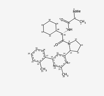 CNC(C)C(=O)N[C@H](C(=O)N1CCCC1c1cc(-c2ccccc2C)nc(C)n1)C1CCCCC1